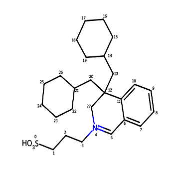 O=S(=O)(O)CCC[N+]1=Cc2ccccc2C(CC2CCCCC2)(CC2CCCCC2)C1